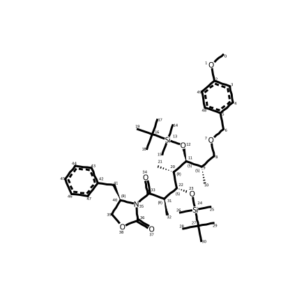 COc1ccc(COC[C@H](C)[C@H](O[Si](C)(C)C(C)(C)C)[C@@H](C)[C@H](O[Si](C)(C)C(C)(C)C)[C@@H](C)C(=O)N2C(=O)OC[C@H]2Cc2ccccc2)cc1